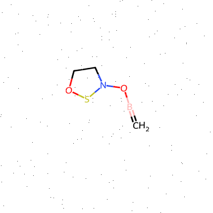 C=BON1CCOS1